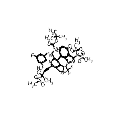 CC(C)(C)OC(=O)N[C@@H](Cc1cc(F)cc(F)c1)c1nc(C#CC(C)(C)S(C)(=O)=O)c2c(c1-c1ccc(Cl)c3c(N(S(C)(=O)=O)S(C)(=O)=O)nn(CC(F)(F)F)c13)C[C@@H](F)C2